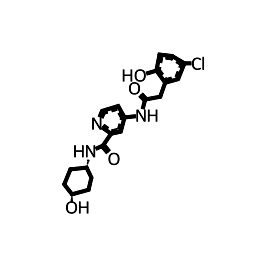 O=C(Cc1cc(Cl)ccc1O)Nc1ccnc(C(=O)N[C@H]2CC[C@@H](O)CC2)c1